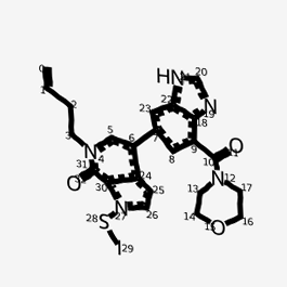 C=CCCn1cc(-c2cc(C(=O)N3CCOCC3)c3nc[nH]c3c2)c2ccn(SI)c2c1=O